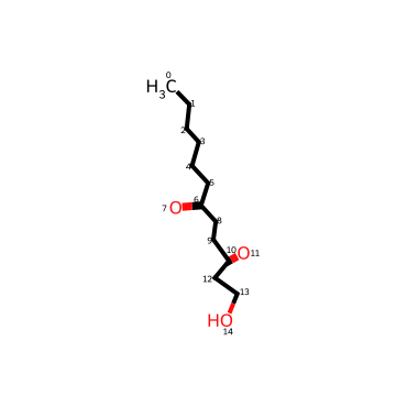 CCCCCCC(=O)CCC(=O)CCO